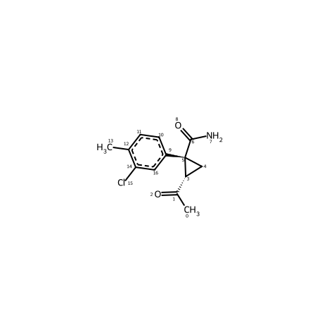 CC(=O)[C@H]1C[C@]1(C(N)=O)c1ccc(C)c(Cl)c1